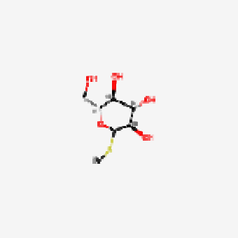 CC(C)SC1O[C@H](CO)[C@@H](O)[C@H](O)[C@H]1O